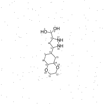 OC(O)C1CC(C2CCC3OCCOC3C2)NN1